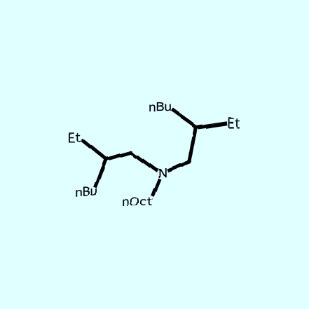 CCCCCCCCN(CC(CC)CCCC)CC(CC)CCCC